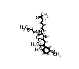 COCCNC(=O)[C@H](CCCCCC(C)=O)NC(=O)Cc1c(C)[nH]c2ccc(OC)cc12